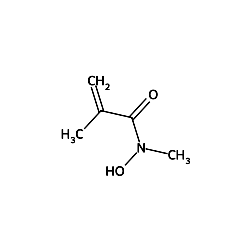 C=C(C)C(=O)N(C)O